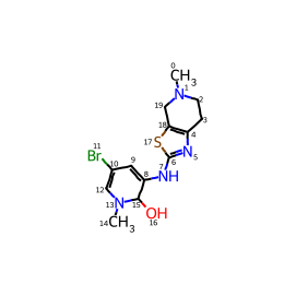 CN1CCc2nc(NC3=CC(Br)=CN(C)C3O)sc2C1